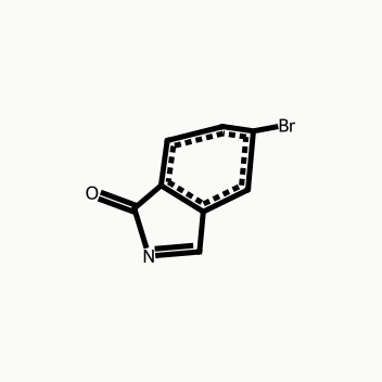 O=C1N=Cc2cc(Br)ccc21